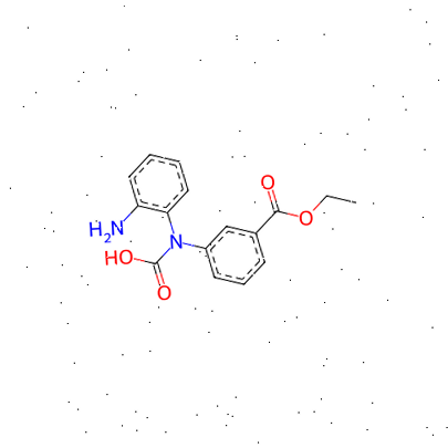 CCOC(=O)c1cccc(N(C(=O)O)c2ccccc2N)c1